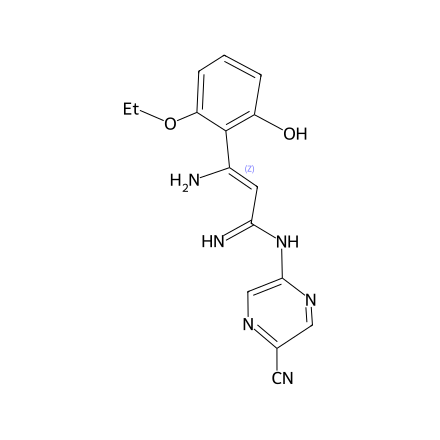 CCOc1cccc(O)c1/C(N)=C/C(=N)Nc1cnc(C#N)cn1